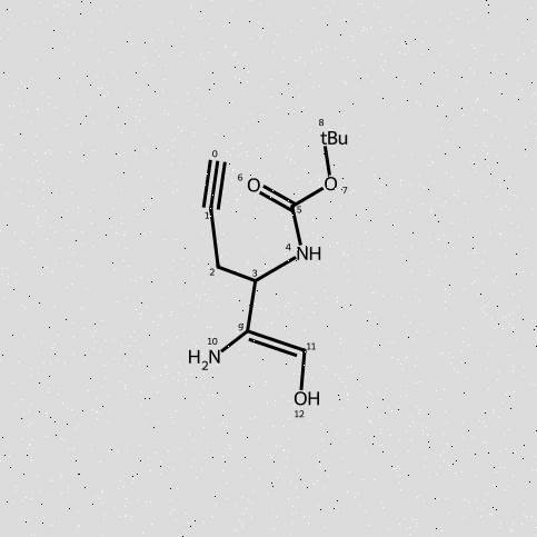 C#CCC(NC(=O)OC(C)(C)C)/C(N)=C/O